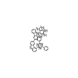 [2H]c1c([2H])c([2H])c(-n2c3ccccc3c3cc(-c4ccc5sc6cccc(-c7nc(-c8ccccc8)nc(-c8ccccc8)n7)c6c5c4)ccc32)c([2H])c1[2H]